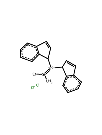 CC[Si](C)=[Zr+2]([CH]1C=Cc2ccccc21)[CH]1C=Cc2ccccc21.[Cl-].[Cl-]